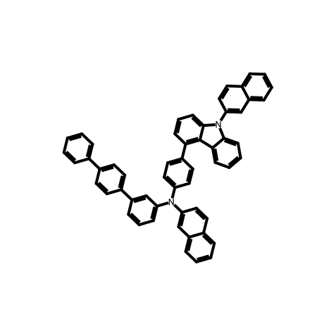 c1ccc(-c2ccc(-c3cccc(N(c4ccc(-c5cccc6c5c5ccccc5n6-c5ccc6ccccc6c5)cc4)c4ccc5ccccc5c4)c3)cc2)cc1